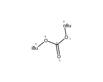 CCCCOC(=O)OC(C)CC